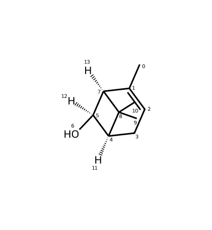 CC1=CC[C@H]2[C@@H](O)[C@@H]1C2(C)C